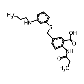 CCCNc1cccc(SCc2ccc(NC(=O)CC)c(C(=O)O)c2)c1